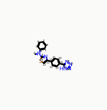 CN(c1ccccc1)c1nc(-c2ccc(-c3nnn[nH]3)cc2)cs1